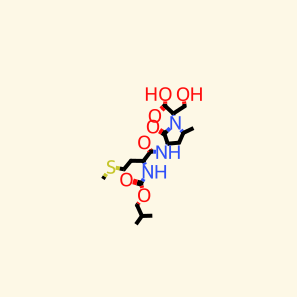 CSCCC(NC(=O)OCC(C)C)C(=O)NC1CC(C)N(C(CO)C(=O)O)C1=O